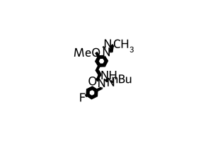 CCCC/N=C1\N/C(=C\c2ccc(-n3cnc(C)c3)c(OC)c2)C(=O)N1Cc1ccc(F)cc1